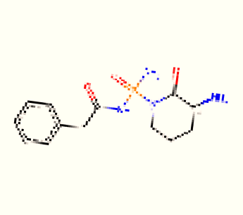 N[C@H]1CCCN(P(N)(=O)NC(=O)Cc2ccccc2)C1=O